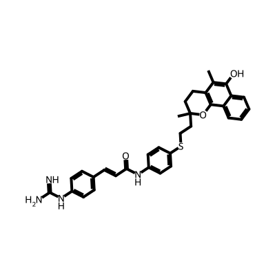 Cc1c2c(c3ccccc3c1O)OC(C)(CCSc1ccc(NC(=O)C=Cc3ccc(NC(=N)N)cc3)cc1)CC2